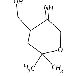 CC1(C)CC(CO)C(=N)CO1